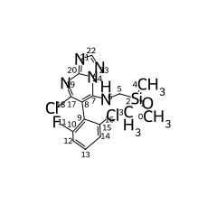 CO[Si](C)(C)CNc1c(-c2c(F)cccc2Cl)c(Cl)nc2ncnn12